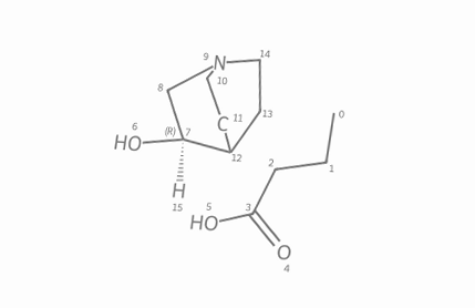 CCCC(=O)O.O[C@H]1CN2CCC1CC2